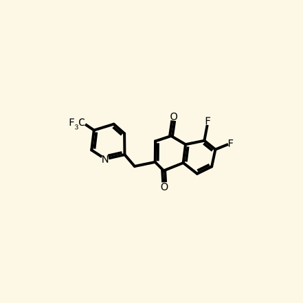 O=C1C(Cc2ccc(C(F)(F)F)cn2)=CC(=O)c2c1ccc(F)c2F